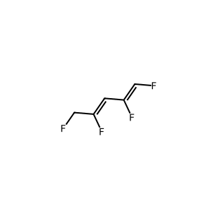 FC=C(F)C=C(F)CF